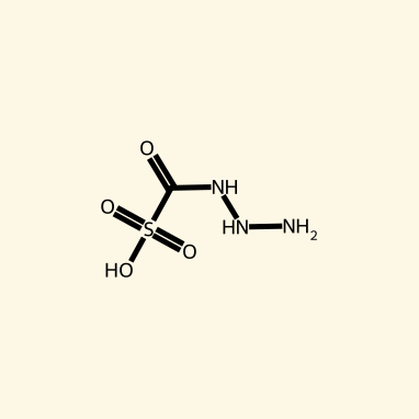 NNNC(=O)S(=O)(=O)O